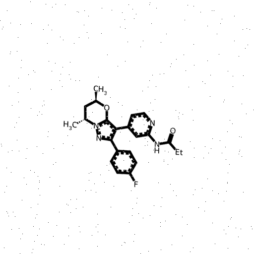 CCC(=O)Nc1cc(-c2c(-c3ccc(F)cc3)nn3c2O[C@H](C)C[C@H]3C)ccn1